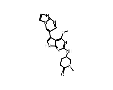 COc1nc(NC2CCC(=O)N(C)C2)nc2[nH]cc(-c3cnc4nccn4c3)c12